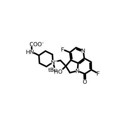 CC(C)(C)[N+]1(CC2(O)Cn3c(=O)c(F)cc4ncc(F)c2c43)CCC(NC(=O)[O-])CC1